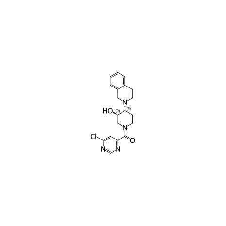 O=C(c1cc(Cl)ncn1)N1CC[C@@H](N2CCc3ccccc3C2)[C@H](O)C1